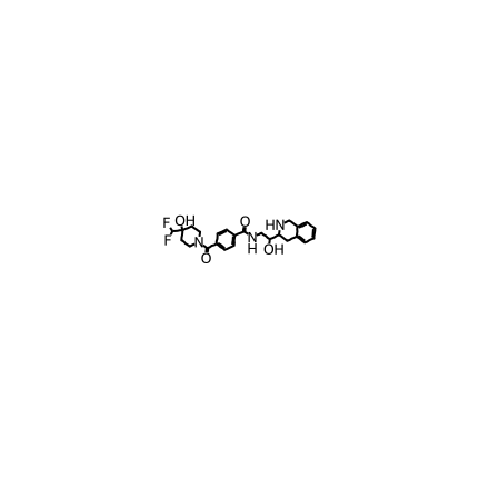 O=C(NCC(O)C1Cc2ccccc2CN1)c1ccc(C(=O)N2CCC(O)(C(F)F)CC2)cc1